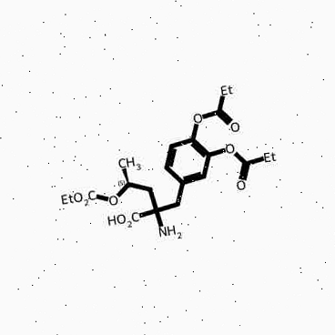 CCOC(=O)O[C@@H](C)CC(N)(Cc1ccc(OC(=O)CC)c(OC(=O)CC)c1)C(=O)O